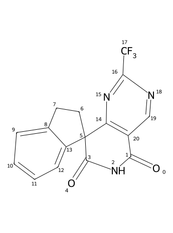 O=C1NC(=O)C2(CCc3ccccc32)c2nc(C(F)(F)F)ncc21